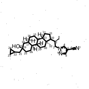 C[C@@H](Cn1cc(C#N)cn1)C1CC[C@H]2[C@@H]3CC[C@@H]4C[C@@](O)(CC5CC5)CC[C@@H]4[C@H]3CC[C@]12C